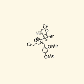 COc1ccc(CN(CC(O)CCl)C(=O)c2sc(Br)c3c2NCC(F)(F)O3)c(OC)c1